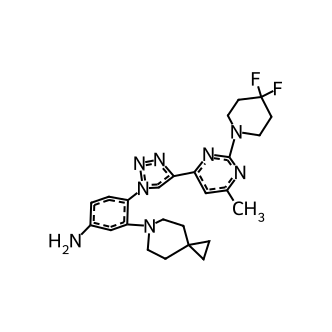 Cc1cc(-c2cn(-c3ccc(N)cc3N3CCC4(CC3)CC4)nn2)nc(N2CCC(F)(F)CC2)n1